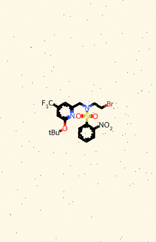 CC(C)(C)Oc1cc(C(F)(F)F)cc(CN(CCBr)S(=O)(=O)c2ccccc2[N+](=O)[O-])n1